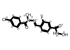 CN(N=Cc1ccc(C(=O)NO)cc1F)C(=O)c1ccc(Cl)cc1